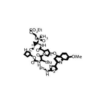 C=C[C@@H]1C[C@]1(NC(=O)C1C[C@@H](Oc2cc(-c3csc(NC(C)C)n3)nc3cc(OC)ccc23)CN1C(=O)C(NC(=O)OC1CCCC1)C(C)(C)C)P(C)(=O)OCOC(=O)OCC